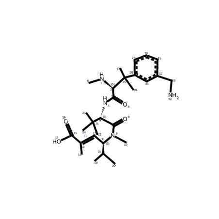 CN[C@H](C(=O)N[C@H](C(=O)N(C)[C@H](/C=C(\C)C(=O)O)C(C)C)C(C)(C)C)C(C)(C)c1cccc(CN)c1